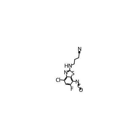 N#CCCCNc1nc2c(Cl)cc(F)c(N=C=O)c2s1